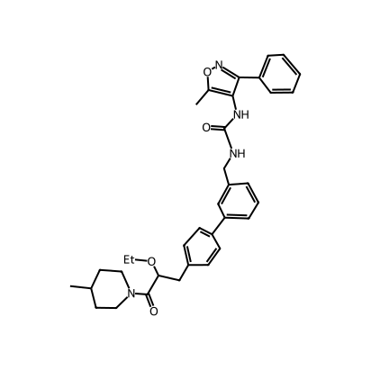 CCOC(Cc1ccc(-c2cccc(CNC(=O)Nc3c(-c4ccccc4)noc3C)c2)cc1)C(=O)N1CCC(C)CC1